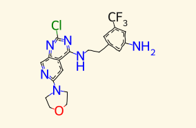 Nc1cc(CCNc2nc(Cl)nc3cnc(N4CCOCC4)cc23)cc(C(F)(F)F)c1